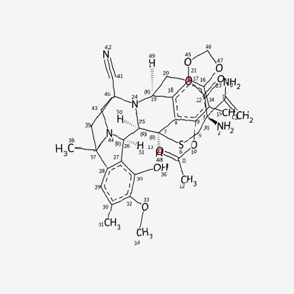 C=C(N)[C@]1(N)CS[C@@H]2c3c(OC(C)=O)c(C)c4c(c3[C@H](COC1=O)N1[C@@H]2[C@H]2c3c(cc(C)c(OC)c3O)C3(C)CC1(C#N)CN23)OCO4